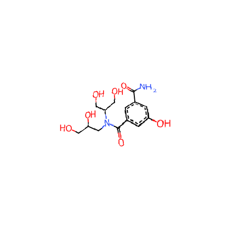 NC(=O)c1cc(O)cc(C(=O)N(CC(O)CO)C(CO)CO)c1